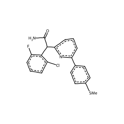 CSc1ccc(-c2cccc(C(C(N)=O)c3c(F)cccc3Cl)n2)cc1